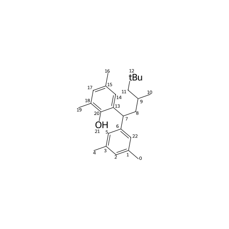 Cc1cc(C)cc(C(CC(C)CC(C)(C)C)c2cc(C)cc(C)c2O)c1